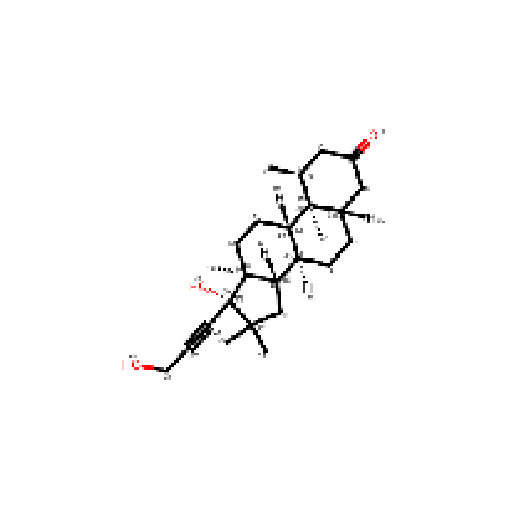 C[C@H]1CC(=O)C[C@@H]2CC[C@@H]3[C@H](CC[C@@]4(C)[C@H]3CC(C)(C)[C@@]4(O)C#CCO)[C@]21C